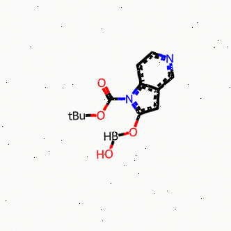 CC(C)(C)OC(=O)n1c(OBO)cc2cnccc21